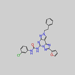 O=C(Nc1cccc(Cl)c1)Nc1nc2nn(CCc3ccccc3)cc2c2nc(-c3ccco3)nn12